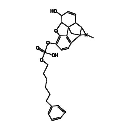 CN1C2C3C=CC(O)C4Oc5c(OP(=O)(O)OCCCCCCc6ccccc6)ccc6c5C34CC621